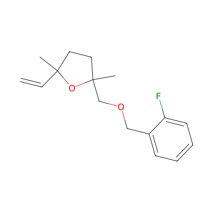 C=CC1(C)CCC(C)(COCc2ccccc2F)O1